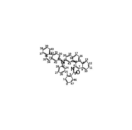 c1ccc(-c2nc3c(o2)c2ccccc2c2ccc4ccc(N(c5ccccc5)c5ccc6c(ccc7ccccc76)c5)cc4c23)cc1